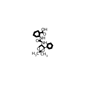 CC1(C)OC[C@H](NC(=O)Nc2ccccc2C(=O)O)[C@@H](c2ccccc2)O1